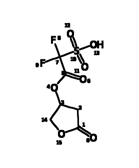 O=C1CC(OC(=O)C(F)(F)S(=O)(=O)O)CO1